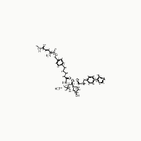 CNC(=O)CC[C@H](N)[C@@H](C)OCc1ccc(CCCCC(=O)N[C@H](C(=O)N2C[C@H](O)C[C@H]2C(=O)NCc2ccc(-c3scnc3C)cc2)C(C)(C)C)cc1.Cl